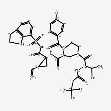 C=C[C@@H]1C[C@]1(NC(=O)[C@@H]1CN(C(=O)[C@@H](NC(=O)OC(C)(C)C)C(C)C)CCN1C(=O)c1ccc(Cl)cc1)C(=O)NS(=O)(=O)c1cccc2c1NCC2